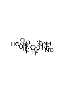 COc1cc(Nc2cc(C)nc(Oc3ccc(NC(=O)Nc4ccccc4C(=O)O)cc3C(F)(F)F)n2)[nH]n1